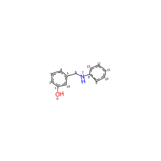 Oc1cccc(CNc2ccccc2)c1